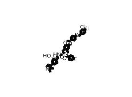 Cc1nccc(-c2ccc(C[C@H](NC(=O)[C@@H]3Cc4cc5c(cc4CN3C(=O)c3ccc(F)cc3)O[C@@H](c3ccc(OCc4ccc(Cl)c(Cl)c4)cc3)CO5)C(=O)O)cc2)c1C